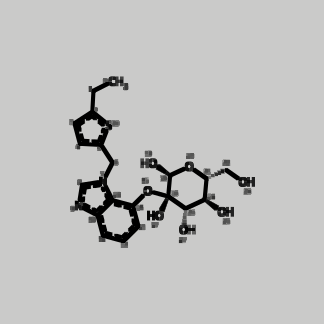 CCc1ccc(Cn2cnc3cccc(O[C@]4(O)[C@@H](O)O[C@H](CO)[C@@H](O)[C@@H]4O)c32)s1